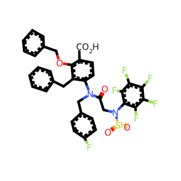 O=C(O)c1ccc(N(Cc2ccc(F)cc2)C(=O)CN(c2c(F)c(F)c(F)c(F)c2F)[SH](=O)=O)c(Cc2ccccc2)c1OCc1ccccc1